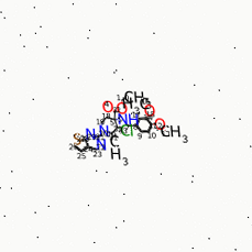 CCOC(=O)C1(NCc2ccc(OC)c(OC)c2)CCN(c2ncc3ccsc3n2)C(C)C1Cl